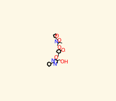 COc1cc(COc2nc(-c3ccccc3)ncc2CO)ccc1OCc1nc(-c2ccco2)oc1C